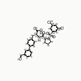 O=Cc1cccc(-c2ccc(C[C@H](NC(=O)[C@@H]3CCCN3S(=O)(=O)c3cc(Cl)cc(Cl)c3)C(=O)O)cc2)c1